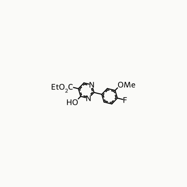 CCOC(=O)c1cnc(-c2ccc(F)c(OC)c2)nc1O